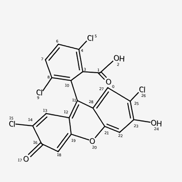 O=C(O)c1c(Cl)ccc(Cl)c1-c1c2cc(Cl)c(=O)cc-2oc2cc(O)c(Cl)cc12